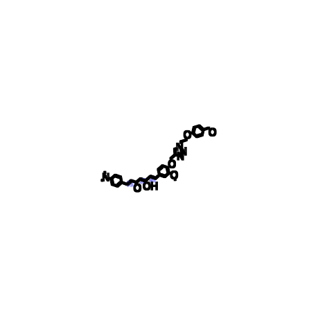 COc1cc(/C=C/C(O)=C/C(=O)/C=C/c2ccc(N(C)C)cc2)ccc1OCc1cn(CCOc2ccc(C=O)cc2)nn1